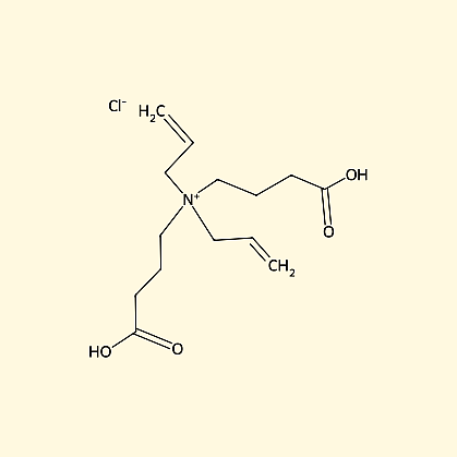 C=CC[N+](CC=C)(CCCC(=O)O)CCCC(=O)O.[Cl-]